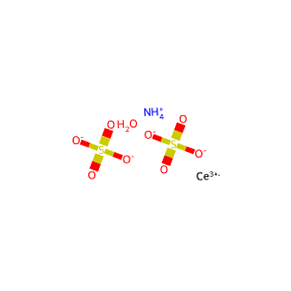 O.O=S(=O)([O-])[O-].O=S(=O)([O-])[O-].[Ce+3].[NH4+]